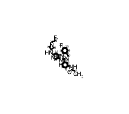 C=CC(=O)Nc1cccc(C2(Nc3ccc(NC4CN(CCF)C4)nc3)N=Cc3ccc(F)cc3N2)c1